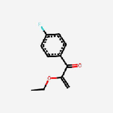 C=C(OCC)C(=O)c1ccc(F)cc1